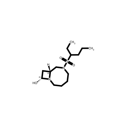 CCCC(CC)S(=O)(=O)N1CCCCN2[C@H](C[C@H]2O)C1